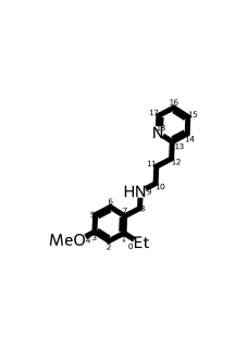 CCc1cc(OC)ccc1CNCCCc1ccccn1